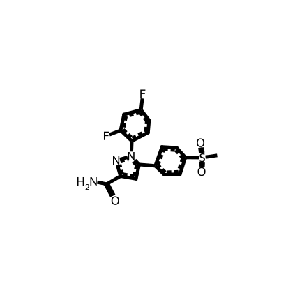 CS(=O)(=O)c1ccc(-c2cc(C(N)=O)nn2-c2ccc(F)cc2F)cc1